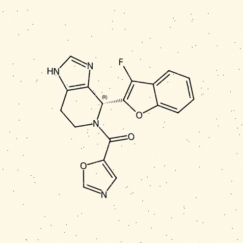 O=C(c1cnco1)N1CCc2[nH]cnc2[C@@H]1c1oc2ccccc2c1F